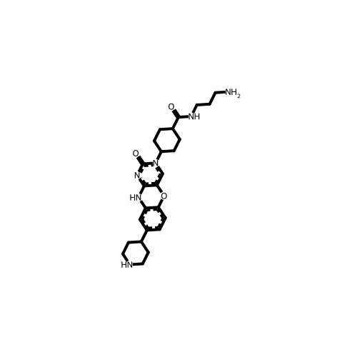 NCCCNC(=O)C1CCC(n2cc3c(nc2=O)Nc2cc(C4CCNCC4)ccc2O3)CC1